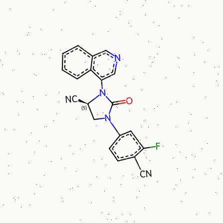 N#Cc1ccc(N2C[C@@H](C#N)N(c3cncc4ccccc34)C2=O)cc1F